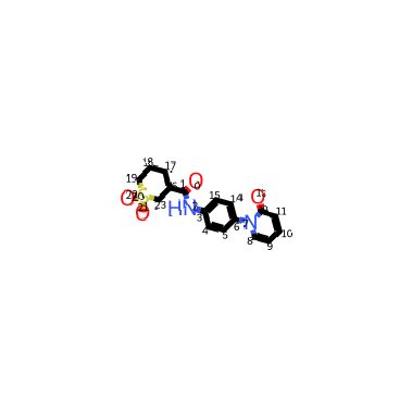 O=C(Nc1ccc(-n2ccccc2=O)cc1)C1[CH]CCS(=O)(=O)C1